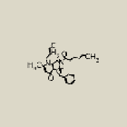 CCCCCC(=O)NCc1c(OCc2ccccc2)c(=O)cc(C)n1CCCC